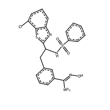 NC(=NO)c1cccc(CC(NS(=O)(=O)c2ccccc2)c2nc3cccc(Cl)c3s2)c1